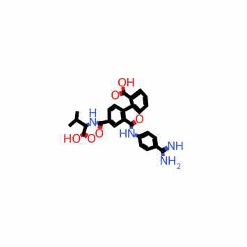 CC(C)C(NC(=O)c1ccc(-c2ccccc2C(=O)O)c(C(=O)Nc2ccc(C(=N)N)cc2)c1)C(=O)O